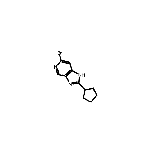 Brc1cc2[nH]c(C3CCCC3)nc2cn1